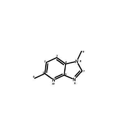 Cc1ccc2c(n[c]n2C)n1